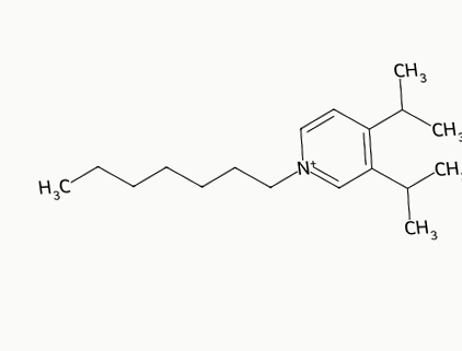 CCCCCCC[n+]1ccc(C(C)C)c(C(C)C)c1